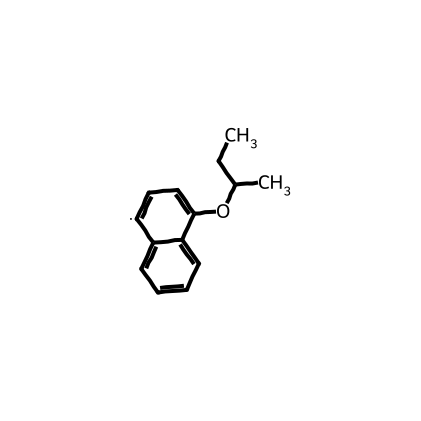 CCC(C)Oc1cc[c]c2ccccc12